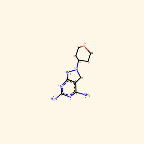 Nc1nc(N)c2c(n1)NN(C1CCOCC1)C2